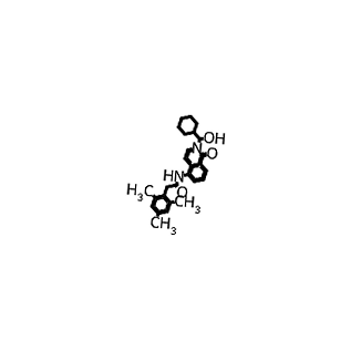 Cc1cc(C)c(CC(=O)Nc2cccc3c(=O)n(C(O)C4CCCCC4)ccc23)c(C)c1